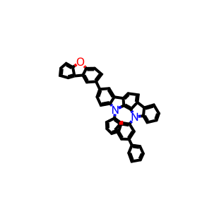 c1ccc(-c2cccc(-n3c4ccccc4c4ccc5c6cc(-c7ccc8oc9ccccc9c8c7)ccc6n(-c6ccccc6)c5c43)c2)cc1